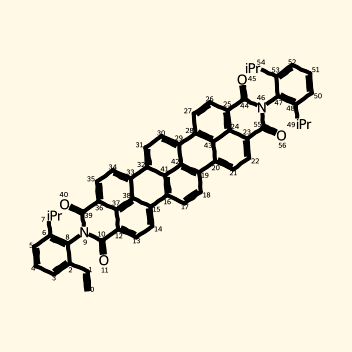 C=Cc1cccc(C(C)C)c1N1C(=O)c2ccc3c4ccc5c6ccc7c8c(ccc(c9ccc(c%10ccc(c2c3%10)C1=O)c4c59)c86)C(=O)N(c1c(C(C)C)cccc1C(C)C)C7=O